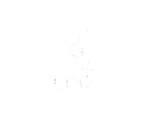 O=S(=O)(Nc1cc(OC(F)F)c(Cl)cc1F)c1c[nH]cc1Cc1ccccc1